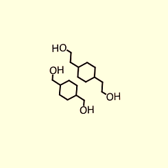 OCC1CCC(CO)CC1.OCCC1CCC(CCO)CC1